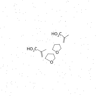 C1CCOC1.C1CCOC1.C=C(C)C(=O)O.C=C(C)C(=O)O